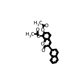 CC(=O)Oc1ccc2cc(-c3ccc4ccccc4c3)c(=O)oc2c1OC(C)=O